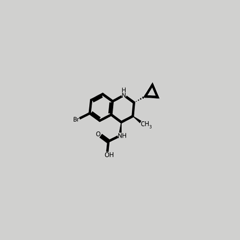 C[C@@H]1[C@@H](C2CC2)Nc2ccc(Br)cc2[C@@H]1NC(=O)O